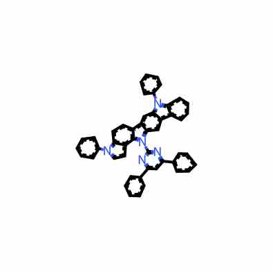 c1ccc(-c2cc(-c3ccccc3)nc(-n3c4cc5c6ccccc6n(-c6ccccc6)c5cc4c4ccc5c(ccn5-c5ccccc5)c43)n2)cc1